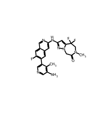 Cc1c(N)cncc1-c1cc2cc(Nc3cc4n(n3)CC(=O)N(C)CC4(F)F)ncc2cc1F